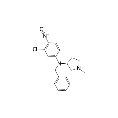 [C-]#[N+]c1ccc(N(Cc2ccccc2)[C@H]2CCN(C)C2)cc1Cl